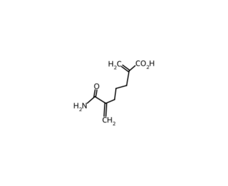 C=C(CCCC(=C)C(=O)O)C(N)=O